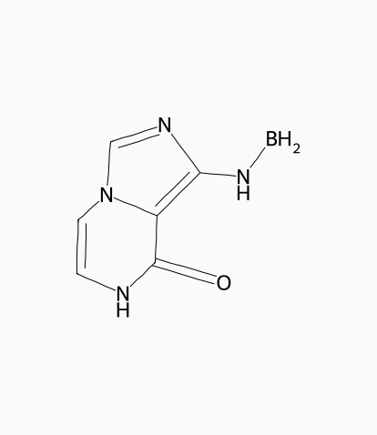 BNc1ncn2cc[nH]c(=O)c12